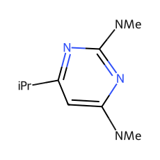 CNc1cc(C(C)C)nc(NC)n1